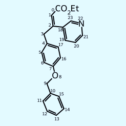 CCOC(=O)/C=C(/Cc1ccc(OCc2ccccc2)cc1)c1cccnc1